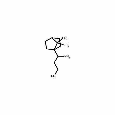 CCCC(N)C12CCC(CC1)C2(C)C